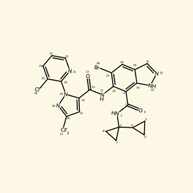 O=C(NC1(C2CC2)CC1)c1c(NC(=O)c2cc(C(F)(F)F)nn2-c2ncccc2Cl)c(Br)cc2cn[nH]c12